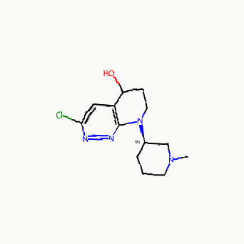 CN1CCC[C@@H](N2CCC(O)c3cc(Cl)nnc32)C1